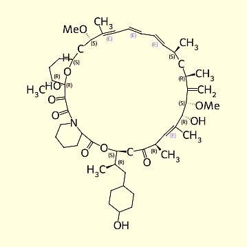 C=C1[C@H](C)C[C@H](C)/C=C/C=C/C=C(\C)[C@@H](OC)C[C@@H]2CC[C@@H](C)[C@@](O)(O2)C(=O)C(=O)N2CCCCC2C(=O)O[C@H]([C@H](C)CC2CCC(O)CC2)CC(=O)[C@H](C)/C=C(\C)[C@@H](O)[C@H]1OC